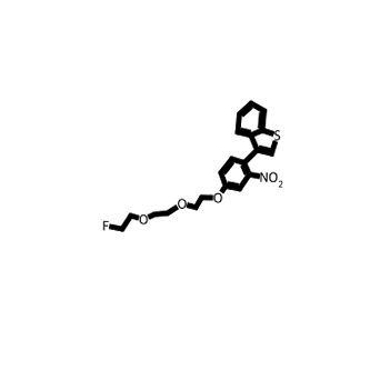 O=[N+]([O-])c1cc(OCCOCCOCCF)ccc1-c1csc2ccccc12